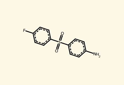 Nc1ccc(S(=O)(=O)c2ccc(F)cc2)cc1